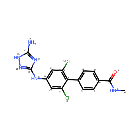 CNC(=O)c1ccc(-c2c(Cl)cc(Nc3n[nH]c(N)n3)cc2Cl)cc1